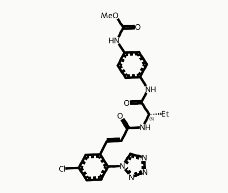 CC[C@H](NC(=O)C=Cc1cc(Cl)ccc1-n1cnnn1)C(=O)Nc1ccc(NC(=O)OC)cc1